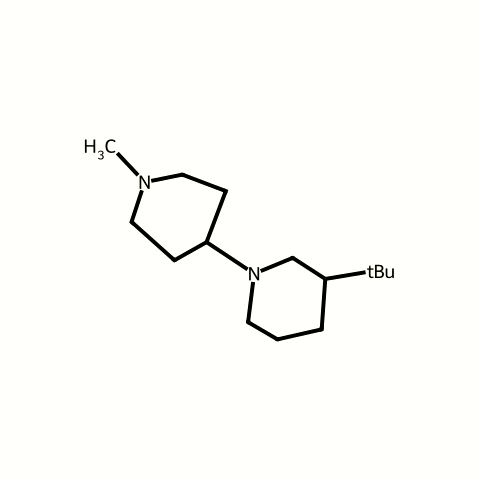 CN1CCC(N2CCCC(C(C)(C)C)C2)CC1